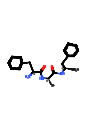 CC(C)[C@H](NC(=O)[C@@H](N)Cc1ccccc1)C(=O)N[C@@H](Cc1ccccc1)C(=O)O